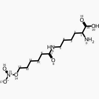 NC(CCCCNC(=O)CCCCCO[N+](=O)[O-])C(=O)O